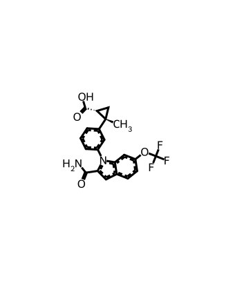 C[C@]1(c2cccc(-n3c(C(N)=O)cc4ccc(OC(F)(F)F)cc43)c2)C[C@H]1C(=O)O